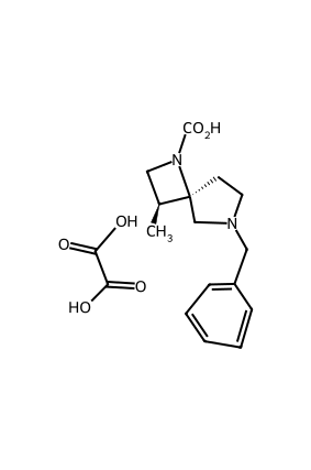 C[C@H]1CN(C(=O)O)[C@]12CCN(Cc1ccccc1)C2.O=C(O)C(=O)O